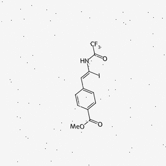 COC(=O)c1ccc(C=C(I)NC(=O)C(F)(F)F)cc1